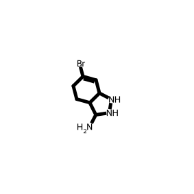 NC1NNC2C=C(Br)CCC12